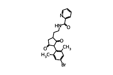 Cc1cc(Br)cc(C)c1C1C(=O)CC(CCNC(=O)c2ccccn2)C1=O